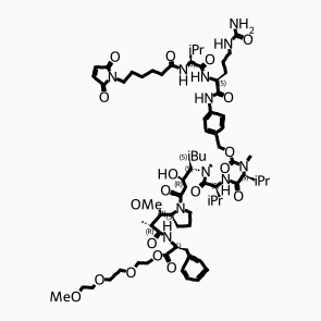 CC[C@H](C)[C@@H]([C@H](O)CC(=O)N1CCC[C@H]1[C@H](OC)[C@@H](C)C(=O)N[C@@H](Cc1ccccc1)C(=O)OCCOCCOCCOC)N(C)C(=O)[C@@H](NC(=O)[C@H](C(C)C)N(C)C(=O)OCc1ccc(NC(=O)[C@H](CCCNC(N)=O)NC(=O)[C@@H](NC(=O)CCCCCN2C(=O)C=CC2=O)C(C)C)cc1)C(C)C